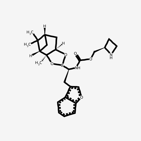 CC1(C)[C@@H]2C[C@H]3OB([C@H](Cc4coc5ccccc45)NC(=O)OC[C@H]4CCN4)O[C@@]3(C)[C@H]1C2